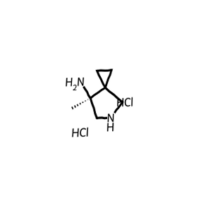 C[C@@]1(N)CNCC12CC2.Cl.Cl